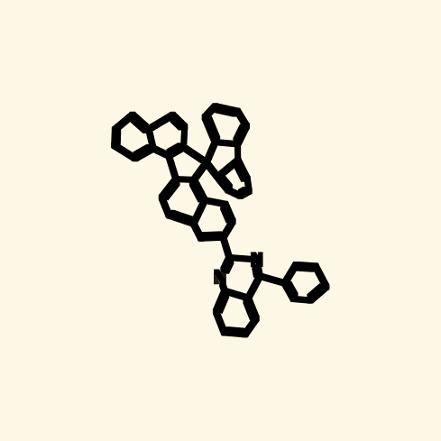 c1ccc(-c2nc(-c3ccc4c5c(ccc4c3)-c3c(ccc4ccccc34)C53c4ccccc4-c4ccccc43)nc3ccccc23)cc1